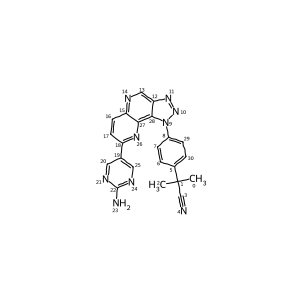 CC(C)(C#N)c1ccc(-n2nnc3cnc4ccc(-c5cnc(N)nc5)nc4c32)cc1